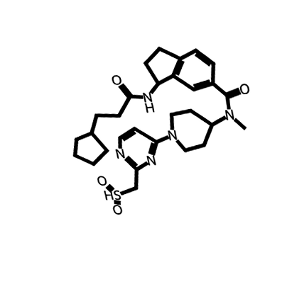 CN(C(=O)c1ccc2c(c1)C(NC(=O)CCC1CCCC1)CC2)C1CCN(c2ccnc(C[SH](=O)=O)n2)CC1